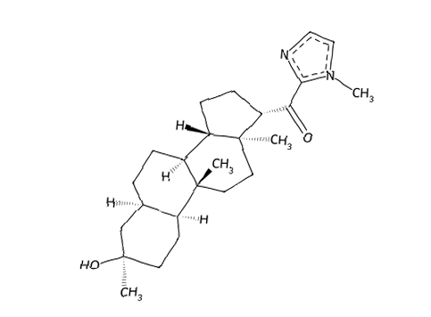 Cn1ccnc1C(=O)[C@H]1CC[C@H]2[C@@H]3CC[C@@H]4C[C@](C)(O)CC[C@@H]4[C@@]3(C)CC[C@]12C